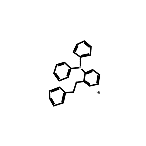 I.c1ccc(CCc2ccccc2P(c2ccccc2)c2ccccc2)cc1